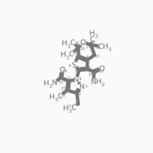 CCc1nn(-c2sc3c(c2C(N)=O)CC(C)(C)OC3(C)C)c(C(N)=O)c1C